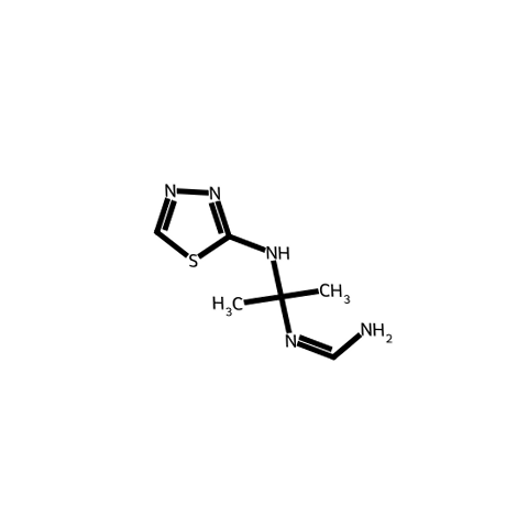 CC(C)(/N=C\N)Nc1nncs1